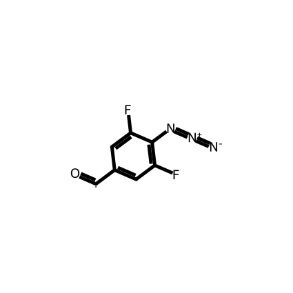 [N-]=[N+]=Nc1c(F)cc([C]=O)cc1F